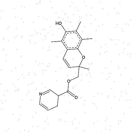 Cc1c(C)c2c(c(C)c1O)C=CC(C)(COC(=O)C1C=NC=CC1)O2